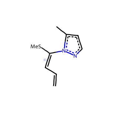 C=C/C=C(/SC)n1nccc1C